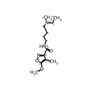 CCN(C)CCCCNC(=O)c1noc(OC)c1C